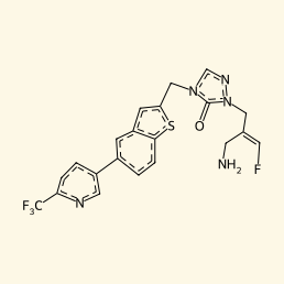 NC/C(=C\F)Cn1ncn(Cc2cc3cc(-c4ccc(C(F)(F)F)nc4)ccc3s2)c1=O